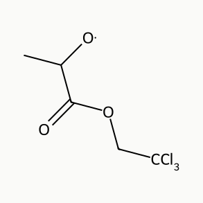 CC([O])C(=O)OCC(Cl)(Cl)Cl